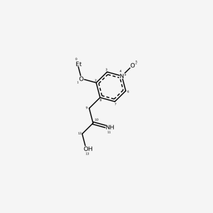 CCOc1c[n+]([O-])ccc1CC(=N)CO